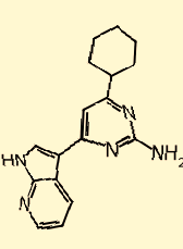 Nc1nc(-c2c[nH]c3ncccc23)cc(C2CCCCC2)n1